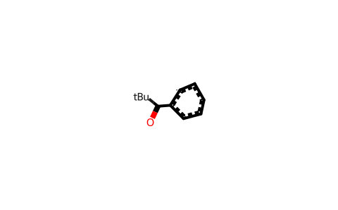 CC(C)(C)C(=O)c1[c]cccc1